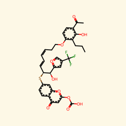 CCCc1c(OCC/C=C\C=C\[C@H](Sc2ccc3c(=O)cc(OC(=O)O)oc3c2)[C@H](O)c2cc(C(F)(F)F)co2)ccc(C(C)=O)c1O